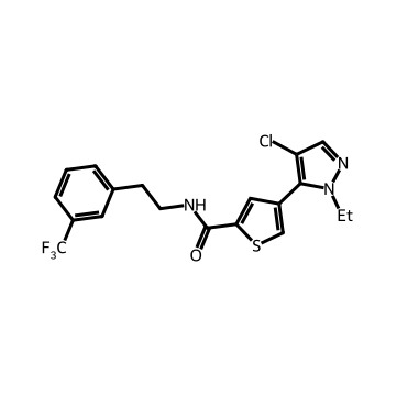 CCn1ncc(Cl)c1-c1csc(C(=O)NCCc2cccc(C(F)(F)F)c2)c1